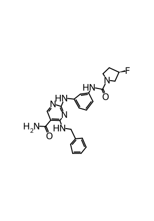 NC(=O)c1cnc(Nc2cccc(NC(=O)N3CC[C@@H](F)C3)c2)nc1NCc1ccccc1